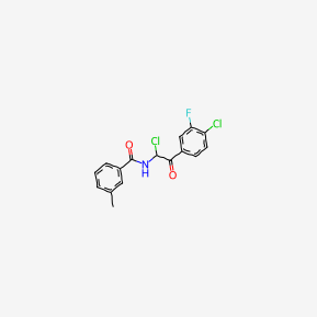 Cc1cccc(C(=O)NC(Cl)C(=O)c2ccc(Cl)c(F)c2)c1